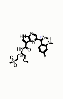 C/N=C(/c1cnc2[nH]cc(C(=O)N[C@@H](CCS(C)(=O)=O)COC)c2n1)c1ccc(F)cc1NC